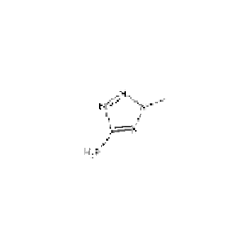 Cn1nnc(P)n1